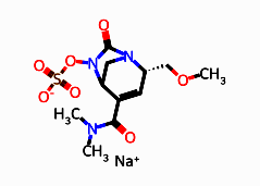 COC[C@@H]1C=C(C(=O)N(C)C)C2CN1C(=O)N2OS(=O)(=O)[O-].[Na+]